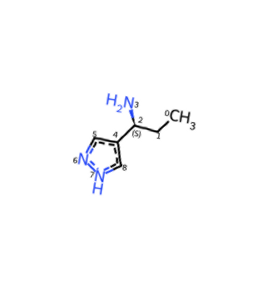 CC[C@H](N)c1cn[nH]c1